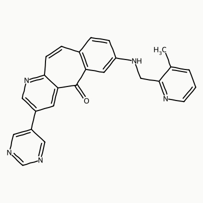 Cc1cccnc1CNc1ccc2ccc3ncc(-c4cncnc4)cc3c(=O)c2c1